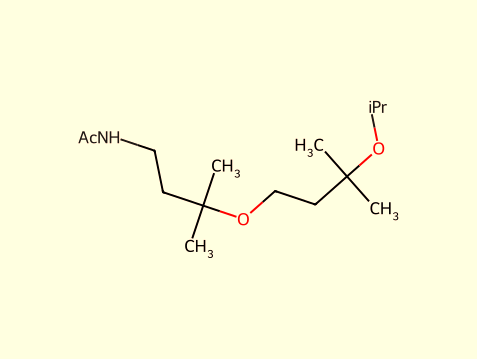 CC(=O)NCCC(C)(C)OCCC(C)(C)OC(C)C